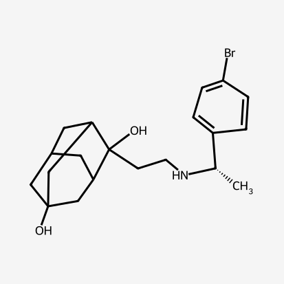 C[C@H](NCCC1(O)C2CC3CC1CC(O)(C3)C2)c1ccc(Br)cc1